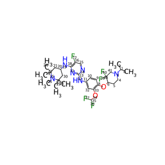 CC(C)N1CCC(Oc2ccc(Nc3ncc(F)c(NC4CC(C)(C)N(C)C(C)(C)C4)n3)cc2OC(F)F)C(F)(F)C1